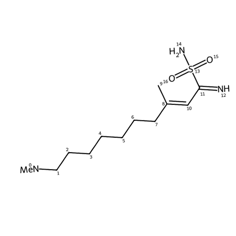 CNCCCCCCC/C(C)=C/C(=N)S(N)(=O)=O